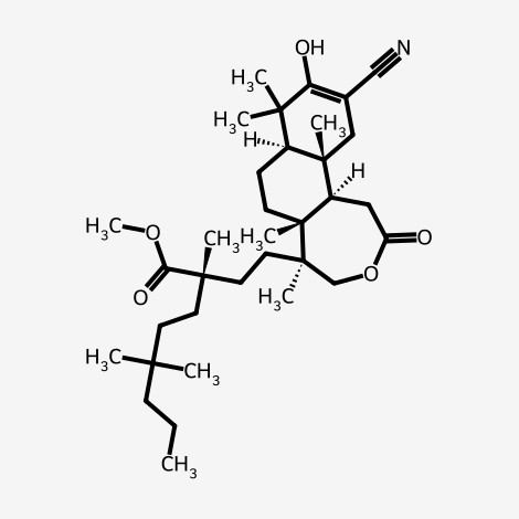 CCCC(C)(C)CC[C@@](C)(CC[C@]1(C)COC(=O)C[C@@H]2[C@@]3(C)CC(C#N)=C(O)C(C)(C)[C@@H]3CC[C@]21C)C(=O)OC